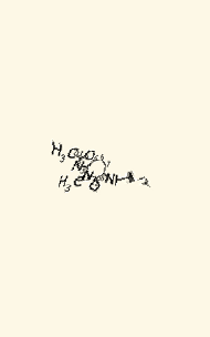 Cc1nc2c(o1)CCC(N)C(=O)N2C